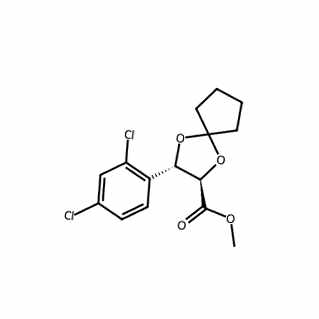 COC(=O)[C@@H]1OC2(CCCC2)O[C@H]1c1ccc(Cl)cc1Cl